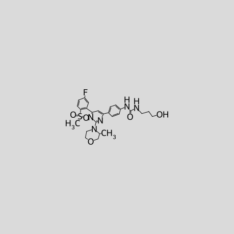 CC1COCCN1c1nc(-c2ccc(NC(=O)NCCCO)cc2)cc(-c2cc(F)ccc2S(C)(=O)=O)n1